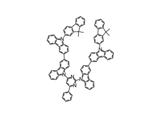 CC1(C)c2ccccc2-c2ccc(-n3c4ccccc4c4cc(-c5ccc6c(c5)c5ccccc5n6-c5cc(-c6ccccc6)nc(-n6c7ccccc7c7cc(-c8ccc9c(c8)c8ccccc8n9-c8ccc9c(c8)C(C)(C)c8ccccc8-9)ccc76)n5)ccc43)cc21